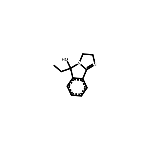 CCC1(O)c2ccccc2C2=NCCN21